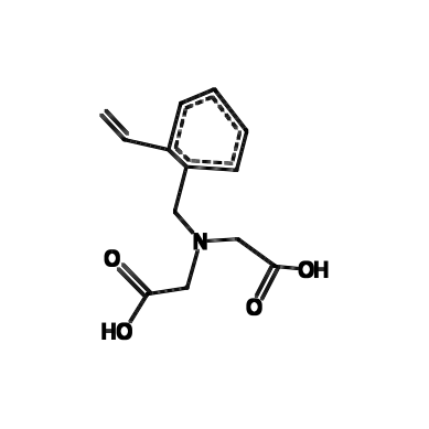 C=Cc1ccccc1CN(CC(=O)O)CC(=O)O